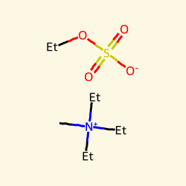 CCOS(=O)(=O)[O-].CC[N+](C)(CC)CC